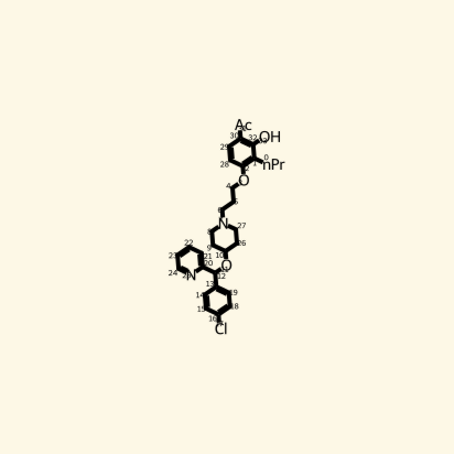 CCCc1c(OCCCN2CCC(OC(c3ccc(Cl)cc3)c3ccccn3)CC2)ccc(C(C)=O)c1O